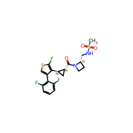 CS(=O)(=O)NC[C@@H]1CCN1C(=O)[C@@H]1C[C@H]1c1c(-c2c(F)cccc2F)csc1F